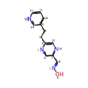 ON=Cc1cnc(CCc2cccnc2)cn1